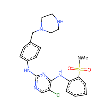 CNS(=O)(=O)c1ccccc1Nc1nc(Nc2ccc(CN3CCNCC3)cc2)ncc1Cl